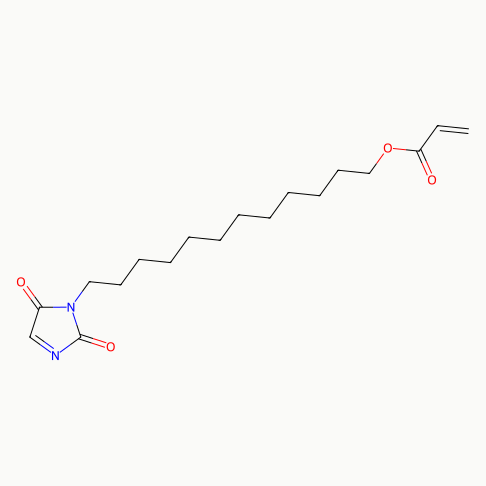 C=CC(=O)OCCCCCCCCCCCCN1C(=O)C=NC1=O